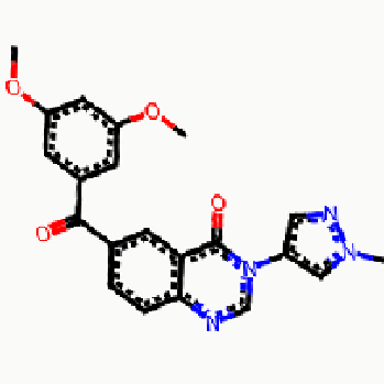 COc1cc(OC)cc(C(=O)c2ccc3ncn(-c4cnn(C)c4)c(=O)c3c2)c1